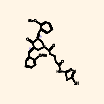 COc1ccccc1/C=C1\CN(C(=O)CCCC(=O)Nc2nnc(S)s2)C/C(=C\c2ccccc2OC)C1=O